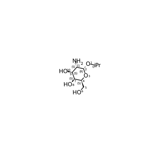 CC(C)O[C@@H]1O[C@@H](CO)[C@@H](O)[C@@H](O)[C@@H]1N